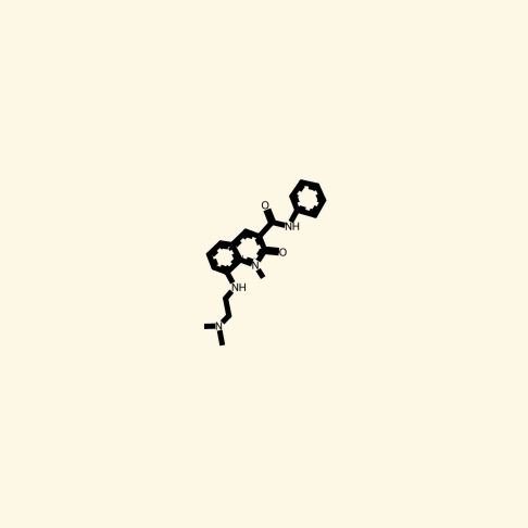 CN(C)CCNc1cccc2cc(C(=O)Nc3ccccc3)c(=O)n(C)c12